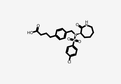 O=C(O)CCCc1ccc(CN([C@@H]2CCCCNC2=O)S(=O)(=O)c2ccc(Cl)cc2)cc1